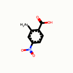 O=C(O)c1ccc([N+](=O)[O-])cc1[AsH2]